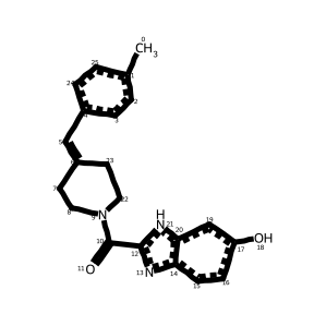 Cc1ccc(C=C2CCN(C(=O)c3nc4ccc(O)cc4[nH]3)CC2)cc1